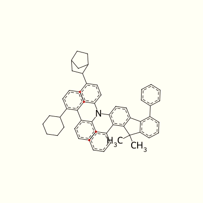 CC1(C)c2cccc(-c3ccccc3)c2-c2ccc(N(c3ccc(C4CC5CCC4C5)cc3)c3ccccc3-c3ccccc3C3CCCCC3)c(-c3ccccc3)c21